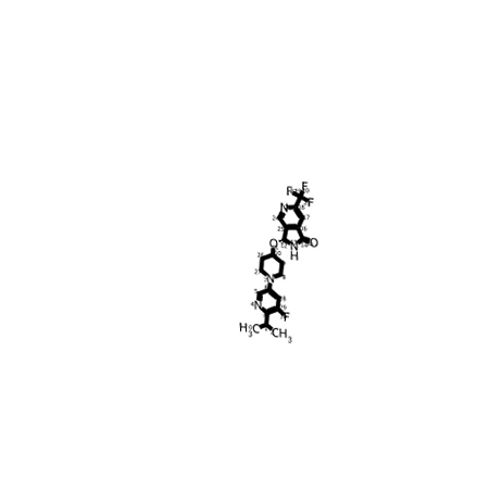 CC(C)c1ncc(N2CCC(O[C@H]3NC(=O)c4cc(C(F)(F)F)ncc43)CC2)cc1F